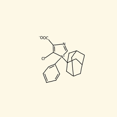 O=C([O-])C1=C(Cl)[N+](c2ccccc2)(C23CC4CC(CC(C4)C2)C3)C=N1